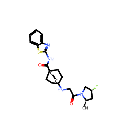 N#C[C@@H]1C[C@H](F)CN1C(=O)CNC12CCC(C(=O)Nc3nc4ccccc4s3)(CC1)CC2